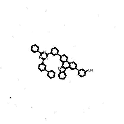 N#Cc1cccc(-c2ccc3c4ccc(-c5cccc(-c6nc(-c7ccccc7)nc(-c7cccc(-c8ccccc8)c7)n6)c5)cc4c4oc5ccccc5c4c3c2)c1